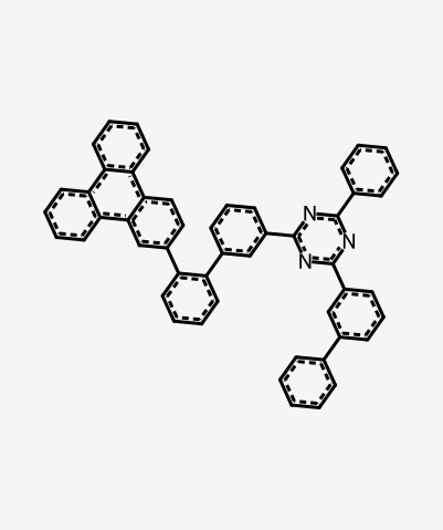 c1ccc(-c2cccc(-c3nc(-c4ccccc4)nc(-c4cccc(-c5ccccc5-c5ccc6c7ccccc7c7ccccc7c6c5)c4)n3)c2)cc1